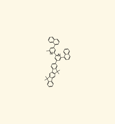 Cc1cc(-c2cccc3ccccc23)cc(-c2cc(-c3ccc4c(c3)C(C)(C)c3cc5c(cc3-4)C(C)(C)c3ccccc3-5)cc(-c3cccc4ccccc34)n2)n1